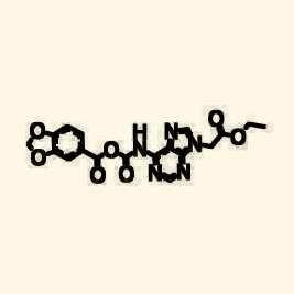 CCOC(=O)Cn1cnc2c(NC(=O)OC(=O)c3ccc4c(c3)OCO4)ncnc21